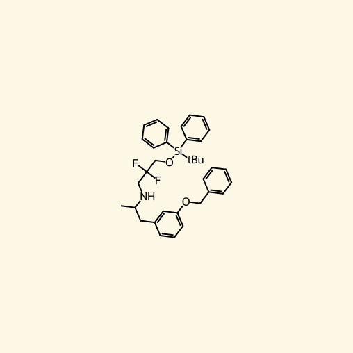 CC(Cc1cccc(OCc2ccccc2)c1)NCC(F)(F)CO[Si](c1ccccc1)(c1ccccc1)C(C)(C)C